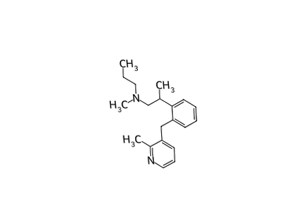 CCCN(C)CC(C)c1ccccc1Cc1cccnc1C